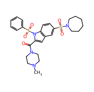 CN1CCN(C(=O)c2cc3cc(S(=O)(=O)N4CCCCCC4)ccc3n2S(=O)(=O)c2ccccc2)CC1